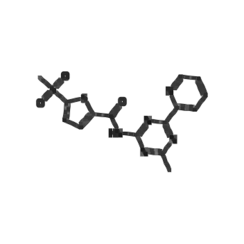 Cc1nc(NC(=O)c2ccc(S(C)(=O)=O)s2)nc(-c2ccccn2)n1